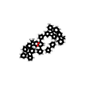 CC1(C)c2ccccc2-c2c(N(c3ccc(-c4ccccc4)cc3)c3ccc4c(c3)-c3cc(-c5cccc(-c6ccc(-c7ccccc7N(c7ccc8c(c7)-c7ccccc7C8(c7ccccc7)c7ccccc7)c7cccc8c7-c7ccccc7C8(C)C)cc6)c5)ccc3C4(c3ccccc3)c3ccccc3)cccc21